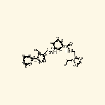 CCn1ncnc1CNC(=O)c1cccc(NCc2nnc(-c3ccncn3)n2C)c1